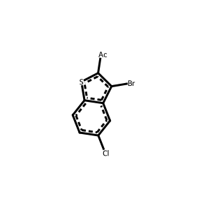 CC(=O)c1sc2ccc(Cl)cc2c1Br